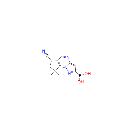 CC1(C)CC(C#N)c2cnc3cc(B(O)O)nn3c21